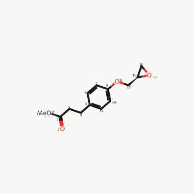 COC(=O)CCc1ccc(OC[C@H]2CO2)cc1